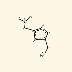 CN(C)Cc1nc(CO)cs1